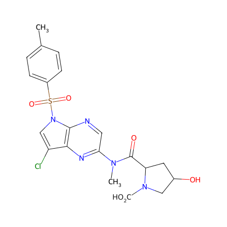 Cc1ccc(S(=O)(=O)n2cc(Cl)c3nc(N(C)C(=O)C4CC(O)CN4C(=O)O)cnc32)cc1